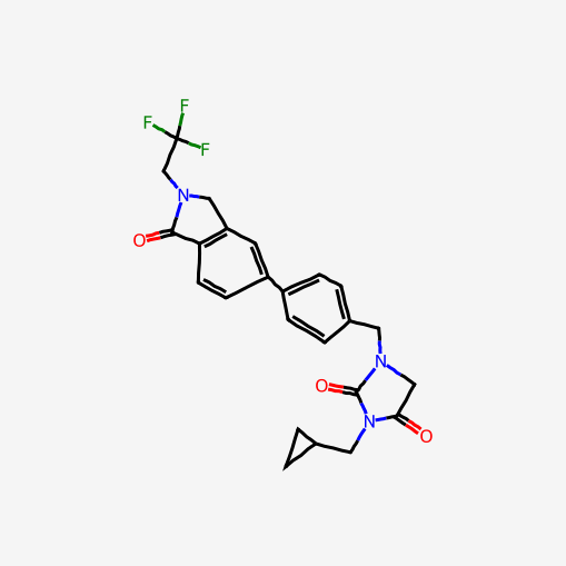 O=C1c2ccc(-c3ccc(CN4CC(=O)N(CC5CC5)C4=O)cc3)cc2CN1CC(F)(F)F